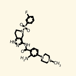 CN1CCN(c2ccc(C(=O)Nc3n[nH]c4c3CN(S(=O)(=O)c3cccc(F)c3)CC4)c(N)c2)CC1